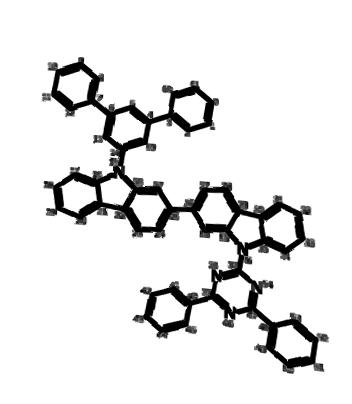 c1ccc(-c2cc(-c3ccccc3)cc(-n3c4ccccc4c4ccc(-c5ccc6c7ccccc7n(-c7nc(-c8ccccc8)nc(-c8ccccc8)n7)c6c5)cc43)c2)cc1